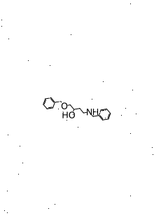 OC(CCNCc1ccccc1)COCc1ccccc1